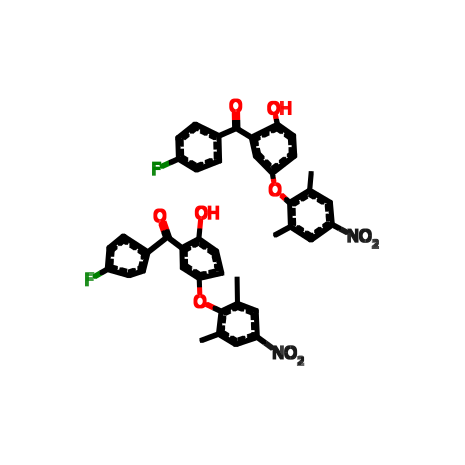 Cc1cc([N+](=O)[O-])cc(C)c1Oc1ccc(O)c(C(=O)c2ccc(F)cc2)c1.Cc1cc([N+](=O)[O-])cc(C)c1Oc1ccc(O)c(C(=O)c2ccc(F)cc2)c1